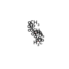 Cc1cccc2c1oc1c(N(c3ccccc3)c3ccc4c(c3)C(C)(C)c3c-4ccc4c3C(C)(C)c3cc(N(c5ccccc5)c5cccc6c5oc5c(C)cccc56)c5ccccc5c3-4)cccc12